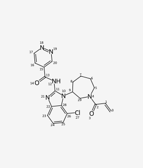 C=CC(=O)N1CCCCC(n2c(NC(=O)c3ccnnc3)nc3cccc(Cl)c32)C1